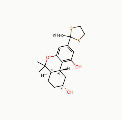 CCCCCCC1(c2cc(O)c3c(c2)OC(C)(C)[C@@H]2CC[C@@H](O)C[C@@H]32)SCCS1